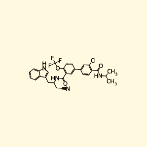 CC(C)NC(=O)c1ccc(-c2ccc(OC(F)(F)F)c(C(=O)NC(CC#N)Cc3c[nH]c4ccccc34)c2)cc1Cl